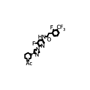 CC(=O)N1CCC[C@@H](c2cn(-c3ncc(NC(=O)Cc4cccc(C(F)(F)F)c4F)cc3F)cn2)C1